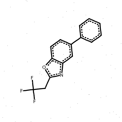 FC(F)(F)Cc1nc2cc(-c3ccccc3)ccc2o1